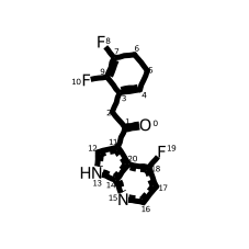 O=C(CC1=CCCC(F)=C1F)c1c[nH]c2nccc(F)c12